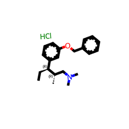 CC[C@@H](c1cccc(OCc2ccccc2)c1)[C@@H](C)CN(C)C.Cl